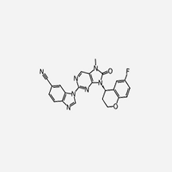 Cn1c(=O)n([C@@H]2CCOc3ccc(F)cc32)c2nc(-n3cnc4ccc(C#N)cc43)ncc21